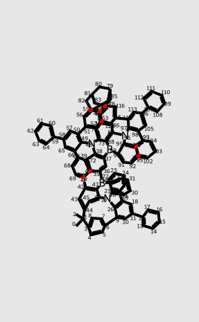 CC1(C)c2ccc(cc2)-c2cc(-c3ccccc3)cc(-c3ccccc3)c2N2c3ccccc3B3c4cc5c(cc4Sc4cc1cc2c43)N(c1c(-c2ccccc2)cc(-c2ccccc2)cc1-c1ccccc1)c1cc(N2C3CC4CC(C3)CC2C4)cc2c1B5c1ccccc1N2c1c(-c2ccccc2)cc(-c2ccccc2)cc1-c1ccccc1